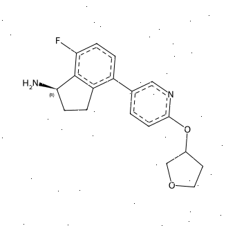 N[C@@H]1CCc2c(-c3ccc(OC4CCOC4)nc3)ccc(F)c21